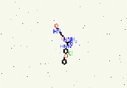 COCCNCCCO/N=C/c1c(N)ncnc1Nc1ccc(OCc2ccccc2)c(Cl)c1